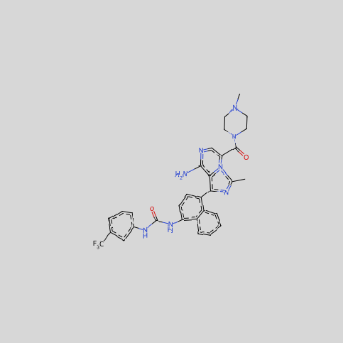 Cc1nc(-c2ccc(NC(=O)Nc3cccc(C(F)(F)F)c3)c3ccccc23)c2c(N)ncc(C(=O)N3CCN(C)CC3)n12